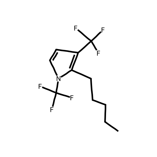 CCCCCc1c(C(F)(F)F)ccn1C(F)(F)F